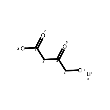 O=C([O-])CC(=O)CCl.[Li+]